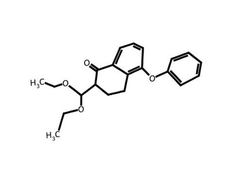 CCOC(OCC)C1CCc2c(Oc3ccccc3)cccc2C1=O